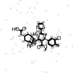 COC(=O)C1=C(CN2[C@H]3C[C@H](CC(=O)O)C[C@@H]2C(F)(F)C3)NC(c2nccs2)=N[C@H]1c1ccc(F)c(Cl)c1